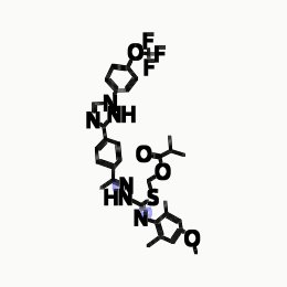 COc1cc(C)c(/N=C(/N/N=C(\C)c2ccc(C3N=CN(c4ccc(OC(F)(F)F)cc4)N3)cc2)SCOC(=O)C(C)C)c(C)c1